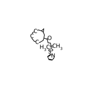 CC(C)(CCC(=O)C1CCCCCCCCCC2CC2C1)SSc1ccccn1